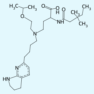 CCC(C)(C)CC(=O)NC(CCN(CCCCc1ccc2c(n1)NCCC2)CCOC(C)C)C(=O)O